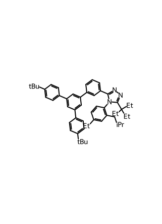 CCc1ccc(-n2c(-c3cccc(-c4cc(-c5ccc(C(C)(C)C)cc5)cc(-c5ccc(C(C)(C)C)cc5)c4)c3)nnc2C(CC)(CC)CC)c(CC(C)C)c1